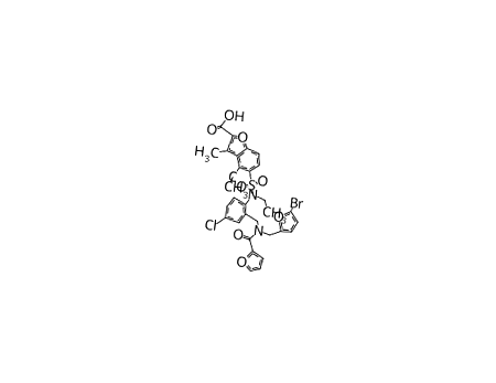 CCc1c(S(=O)(=O)N(CC)c2ccc(Cl)cc2CN(Cc2ccc(Br)o2)C(=O)c2ccco2)ccc2oc(C(=O)O)c(C)c12